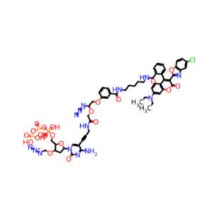 CCN(CC)c1ccc2c(-c3ccccc3C(=O)NCCCCCNC(=O)c3cccc(OCC(N=[N+]=[N-])OCC(=O)NCC#Cc4cn(C5CC(OCN=[N+]=[N-])C(COP(=O)(O)OP(=O)(O)OP(=O)(O)O)O5)c(=O)nc4N)c3)c(-c3nc4cc(Cl)ccc4o3)c(=O)oc2c1